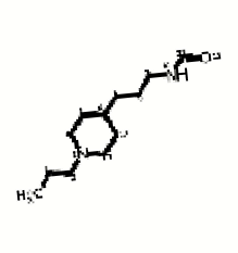 CCCN1CCC(CCCN[C]=O)CC1